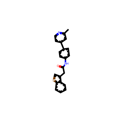 Cc1cc(-c2ccc(NC(=O)Cc3csc4ccccc34)cc2)ccn1